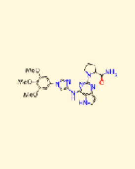 COc1cc(-n2cnc(Nc3nc(N4CCCC4C(N)=O)nc4cc[nH]c34)c2)cc(OC)c1OC